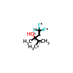 CC(C)C(C)(O)CC(F)(F)F